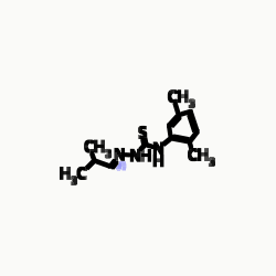 Cc1ccc(C)c(NC(=S)N/N=C/C(C)C)c1